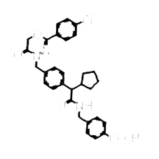 O=C(O)c1ccc(CNC(=O)C(c2ccc(CN3N=C(c4ccc(Cl)cc4)OCC3=O)cc2)C2CCCC2)cc1